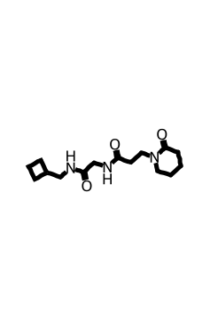 O=C(CCN1CCCCC1=O)NCC(=O)NCC1CCC1